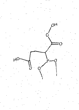 O=C(O)CC(C(=O)OO)P(OI)OI